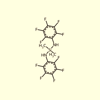 C[Si](C)(Nc1c(F)c(F)c(F)c(F)c1F)Nc1c(F)c(F)c(F)c(F)c1F